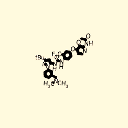 CN(C)Cc1cccc(-n2nc(C(C)(C)C)cc2NC(=O)Nc2ccc(Oc3ccnc4c3OCC(=O)N4)cc2C(F)(F)F)c1